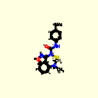 CSc1ccc(NC(=O)N(S)c2noc3cccc(N(C)C)c23)cc1